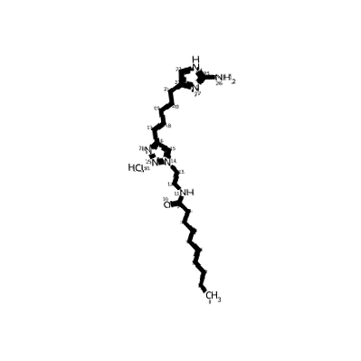 CCCCCCCCCC(=O)NCCn1cc(CCCCCc2c[nH]c(N)n2)nn1.Cl